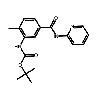 Cc1ccc(C(=O)Nc2ccccn2)cc1NC(=O)OC(C)(C)C